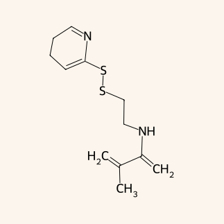 C=C(C)C(=C)NCCSSC1=CCCC=N1